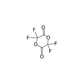 O=C1OC(F)(F)C(=O)OC1(F)F